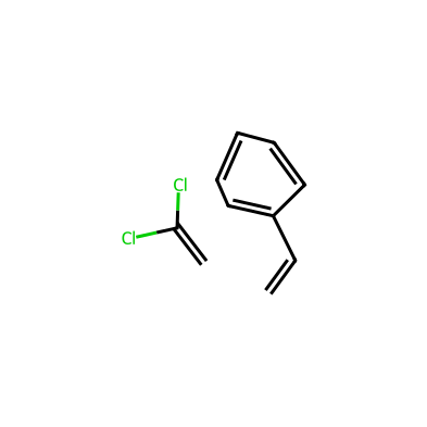 C=C(Cl)Cl.C=Cc1ccccc1